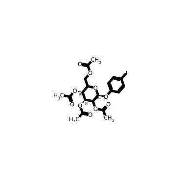 CC(=O)OCC1O[C@@H](Oc2ccc(I)cc2)C(OC(C)=O)[C@H](OC(C)=O)[C@@H]1OC(C)=O